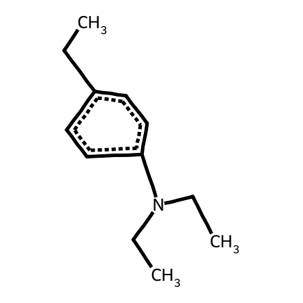 CCc1ccc(N(CC)CC)cc1